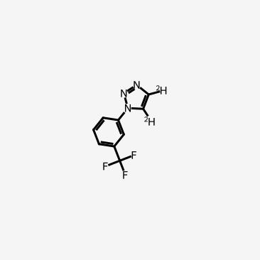 [2H]c1nnn(-c2cccc(C(F)(F)F)c2)c1[2H]